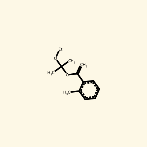 C=C(OC(C)(C)OCC)c1ccccc1C